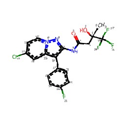 C[C@](O)(CC(=O)Nc1nn2ccc(Cl)cc2c1-c1ccc(F)cc1)C(F)(F)F